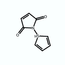 O=C1C=CC(=O)N1[SH]1C=CC=C1